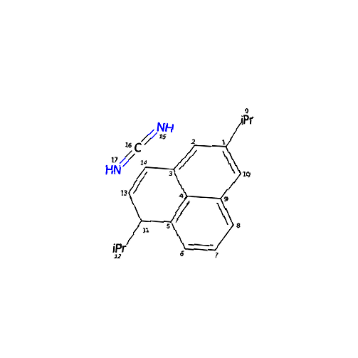 CC(C)c1cc2c3c(cccc3c1)C(C(C)C)C=C2.N=C=N